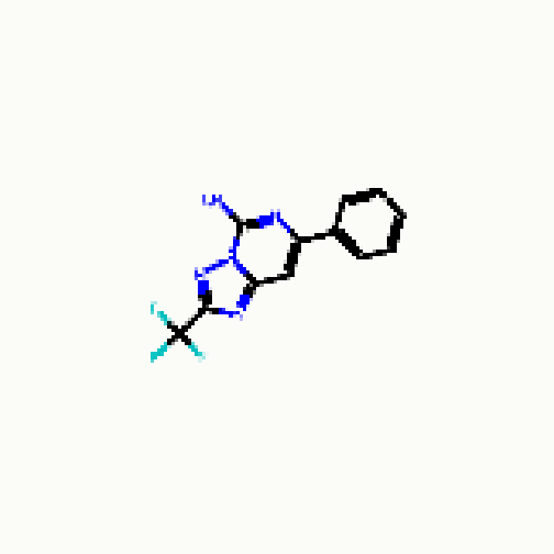 Nc1nc(-c2ccccc2)cc2nc(C(F)(F)F)nn12